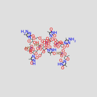 COCCO[C@H]1C(O)[C@@H](COP(=O)(S)OC2[C@@H](COP(=O)(S)OC3[C@@H](COP(=O)(O)OC4[C@@H](COP(=O)(O)OC5[C@@H](COP(=O)(S)OC6C[C@H](n7cc(C)c(=O)[nH]c7=O)O[C@@H]6C)O[C@@H](n6cc(C)c(N)nc6=O)[C@H]5OCCOC)O[C@@H](n5cc(C)c(=O)[nH]c5=O)[C@H]4OCCOC)O[C@@H](n4cc(C)c(=O)[nH]c4=O)[C@H]3OCCOC)O[C@@H](n3cc(C)c(=O)[nH]c3=O)[C@H]2OCCOC)O[C@H]1n1cc(C)c(N)nc1=O